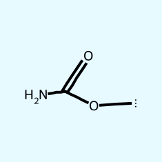 [C]OC(N)=O